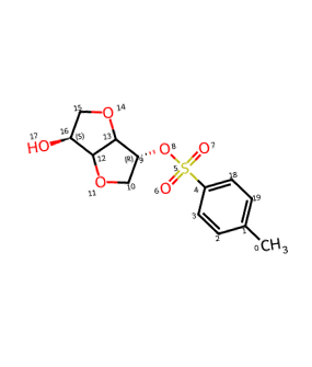 Cc1ccc(S(=O)(=O)O[C@@H]2COC3C2OC[C@@H]3O)cc1